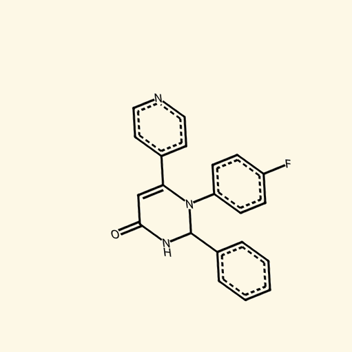 O=C1C=C(c2ccncc2)N(c2ccc(F)cc2)C(c2ccccc2)N1